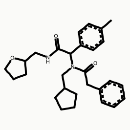 Cc1ccc(C(C(=O)NCC2CCCO2)N(CC2CCCC2)C(=O)Cc2ccccc2)cc1